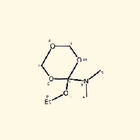 CCOC1(N(C)C)OCOCO1